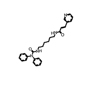 O=C(C=Cc1cccnc1)NCCCCCCNC(=O)N(c1ccccc1)c1ccccc1